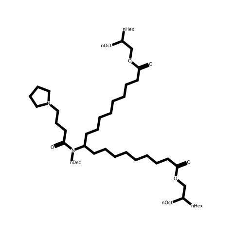 CCCCCCCCCCN(C(=O)CCCN1CCCC1)C(CCCCCCCCC(=O)OCC(CCCCCC)CCCCCCCC)CCCCCCCCC(=O)OCC(CCCCCC)CCCCCCCC